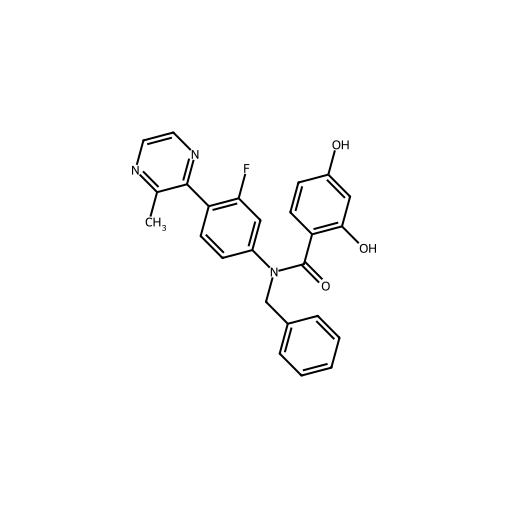 Cc1nccnc1-c1ccc(N(Cc2ccccc2)C(=O)c2ccc(O)cc2O)cc1F